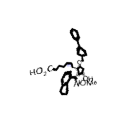 CON=C(c1cccc2ccccc12)[C@@H]1[C@@H](C/C=C\CCCC(=O)O)[C@@H](OCc2ccc(-c3ccccc3)cc2)C[C@H]1O